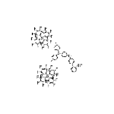 Cc1ccc([S+](c2ccc(C)cc2)c2ccc(Oc3ccc(-c4ccccc4[IH+])cc3)cc2)cc1.Fc1c(F)c(F)c([B-](c2c(F)c(F)c(F)c(F)c2F)(c2c(F)c(F)c(F)c(F)c2F)c2c(F)c(F)c(F)c(F)c2F)c(F)c1F.Fc1c(F)c(F)c([B-](c2c(F)c(F)c(F)c(F)c2F)(c2c(F)c(F)c(F)c(F)c2F)c2c(F)c(F)c(F)c(F)c2F)c(F)c1F